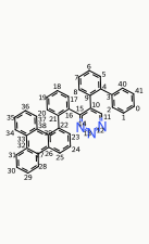 c1ccc(-c2ccccc2-c2cnnnc2-c2ccccc2-c2cccc3c4ccccc4c4ccccc4c23)cc1